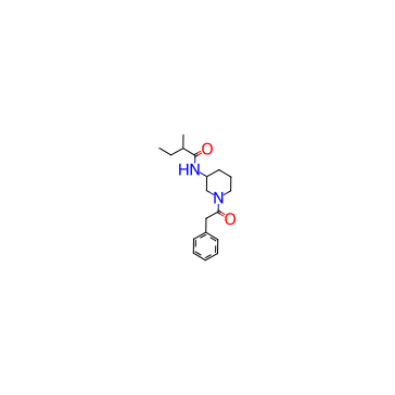 CCC(C)C(=O)NC1CCCN(C(=O)Cc2ccccc2)C1